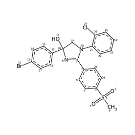 CS(=O)(=O)c1ccc(C2=NC(O)(c3ccc(Br)cc3)CN2c2ccccc2Cl)cc1